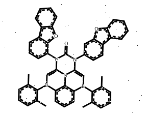 Cc1cccc(C)c1B1C=C2N(c3ccc4c(c3)oc3ccccc34)C(=O)N(c3cccc4c3oc3ccccc34)C3=CB(c4c(C)cccc4C)c4cccc1c4N23